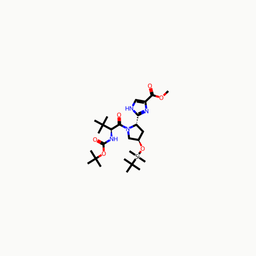 COC(=O)c1c[nH]c([C@@H]2C[C@@H](O[Si](C)(C)C(C)(C)C)CN2C(=O)[C@@H](NC(=O)OC(C)(C)C)C(C)(C)C)n1